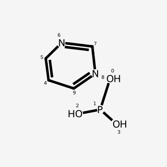 OP(O)O.c1cncnc1